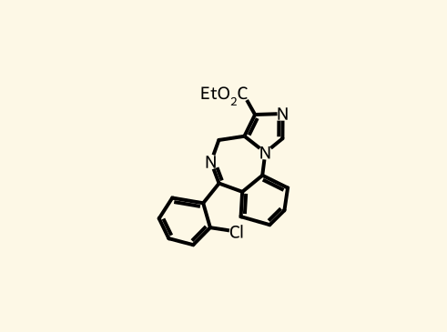 CCOC(=O)c1ncn2c1CN=C(c1ccccc1Cl)c1ccccc1-2